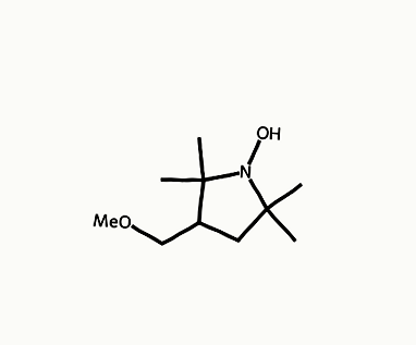 COCC1CC(C)(C)N(O)C1(C)C